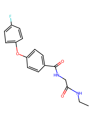 CCNC(=O)CNC(=O)c1ccc(Oc2ccc(F)cc2)cc1